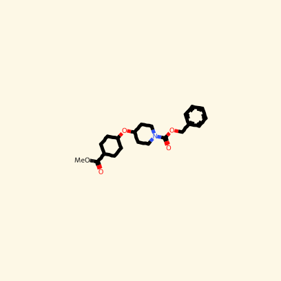 COC(=O)C1CCC(OC2CCN(C(=O)OCc3ccccc3)CC2)CC1